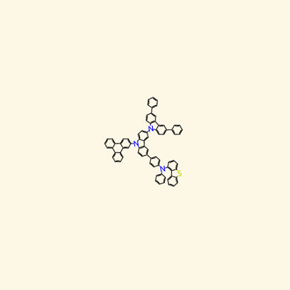 c1ccc(-c2ccc3c(c2)c2cc(-c4ccccc4)ccc2n3-c2ccc3c(c2)c2cc(-c4ccc(N(c5ccccc5)c5cccc6sc7ccccc7c56)cc4)ccc2n3-c2ccc3c4ccccc4c4ccccc4c3c2)cc1